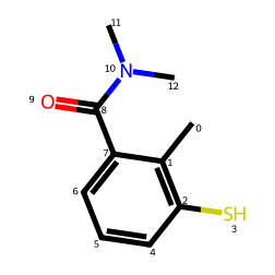 Cc1c(S)cccc1C(=O)N(C)C